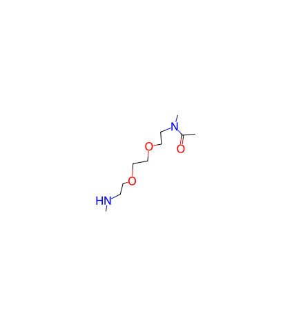 CNCCOCCOCCN(C)C(C)=O